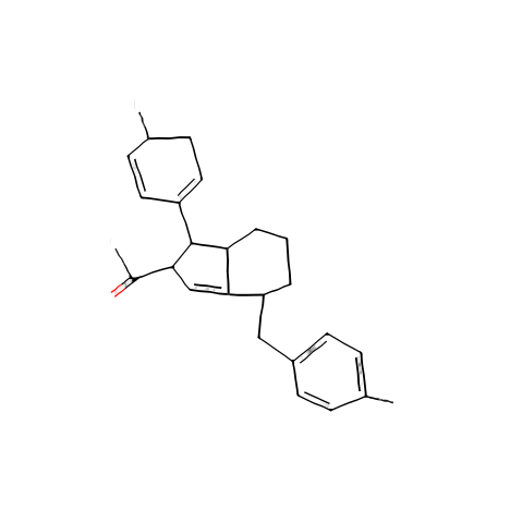 CCC(=O)C1C=C2C(Cc3ccc(CC)cc3)CCCC2C1C1=CCC(CC)C=C1